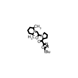 CC1CCCC(C)N1CC(=O)N1CCCC1C(=O)c1nnc(C(C)(C)C)o1